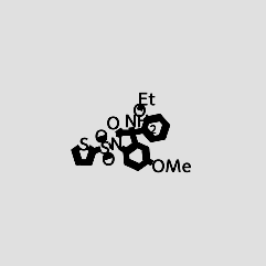 CCOc1ccccc1C1(N)C(=O)N(S(=O)(=O)c2cccs2)c2ccc(OC)cc21